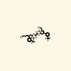 CNC(CC(=CCCCl)c1cccc(C(F)(F)F)c1)OC(=O)C(=O)OC(CC(=CCCCl)c1cccc(C(F)(F)F)c1)NC